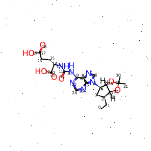 CC[C@H]1C[C@@H](n2cnc3c(NC(=O)N[C@@H](CCC(=O)O)C(=O)O)ncnc32)[C@@H]2OC(C)(C)O[C@H]12